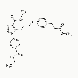 CCNC(=O)c1ccc(-n2nnc(C(=O)NC3CC3)c2CCCOc2ccc(CCC(=O)OC)cc2)cc1